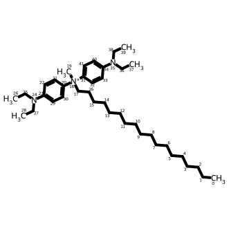 CCCCCCCCCCCCCCCCCC[N+](C)(c1ccc(N(CC)CC)cc1)c1ccc(N(CC)CC)cc1